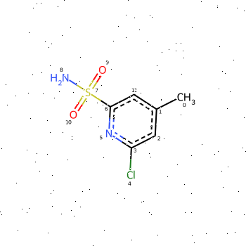 Cc1cc(Cl)nc(S(N)(=O)=O)c1